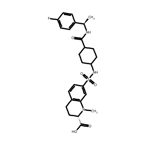 C[C@@H](NC(=O)C1CCC(NS(=O)(=O)c2ccc3c(c2)N(C)[C@H](C(=O)O)CC3)CC1)c1ccc(F)cc1